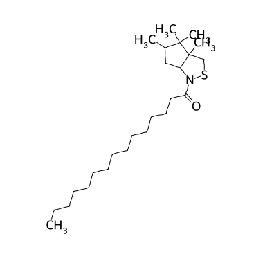 CCCCCCCCCCCCCCC(=O)N1SCC2(C)C1CC(C)C2(C)C